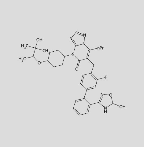 CCCc1c(Cc2ccc(-c3ccccc3C3=NOC(O)N3)cc2F)c(=O)n(C2CCC(OC(C)C(C)(C)O)CC2)c2ncnn12